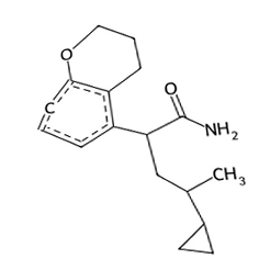 CC(CC(C(N)=O)c1cccc2c1CCCO2)C1CC1